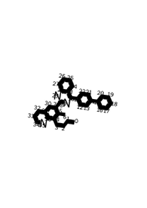 C=C/C=C\c1c(C)c(-c2nc(-c3ccc(-c4ccccc4)cc3)c3ccccc3n2)cc2cccnc12